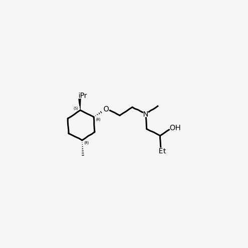 CCC(O)CN(C)CCO[C@@H]1C[C@H](C)CC[C@H]1C(C)C